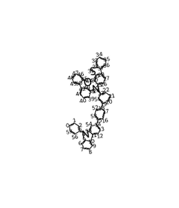 c1ccc(-n2c3ccccc3c3ccc(-c4ccc(-c5cccc(N(c6ccc7c(c6)sc6ccccc67)c6cccc7c6oc6ccccc67)c5)cc4)cc32)cc1